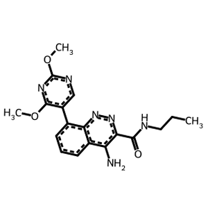 CCCNC(=O)c1nnc2c(-c3cnc(OC)nc3OC)cccc2c1N